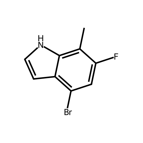 Cc1c(F)cc(Br)c2cc[nH]c12